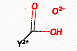 O=[C](O)[Y+2].[O-2]